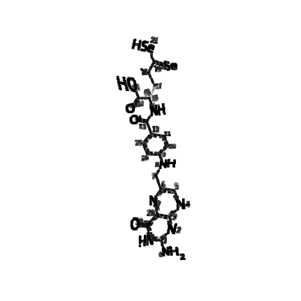 Nc1nc2ncc(CNc3ccc(C(=O)N[C@@H](CCC(=[Se])[SeH])C(=O)O)cc3)nc2c(=O)[nH]1